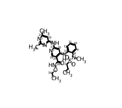 CCCS(=O)(=O)N(C)c1ccccc1Nc1cc(Nc2cc(C)nc(C)n2)ncc1C(=O)NOCC